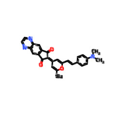 CN(C)c1ccc(C=CC2=CC(=C3C(=O)c4cc5nccnc5cc4C3=O)C=C(C(C)(C)C)O2)cc1